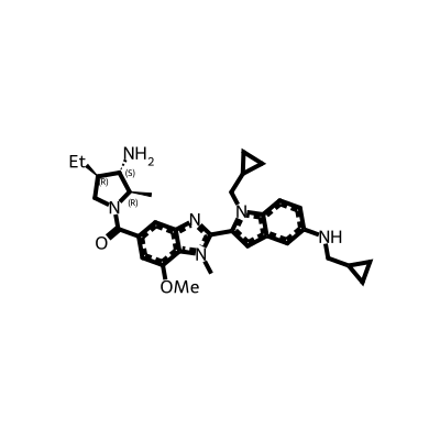 CC[C@@H]1CN(C(=O)c2cc(OC)c3c(c2)nc(-c2cc4cc(NCC5CC5)ccc4n2CC2CC2)n3C)[C@H](C)[C@H]1N